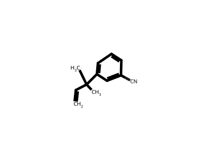 C=CC(C)(C)c1cccc(C#N)c1